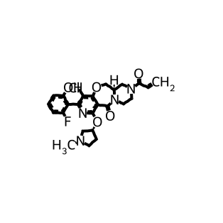 C=CC(=O)N1CCN2C(=O)c3c(O[C@H]4CCN(C)C4)nc(-c4c(O)cccc4F)c(Cl)c3OC[C@H]2C1